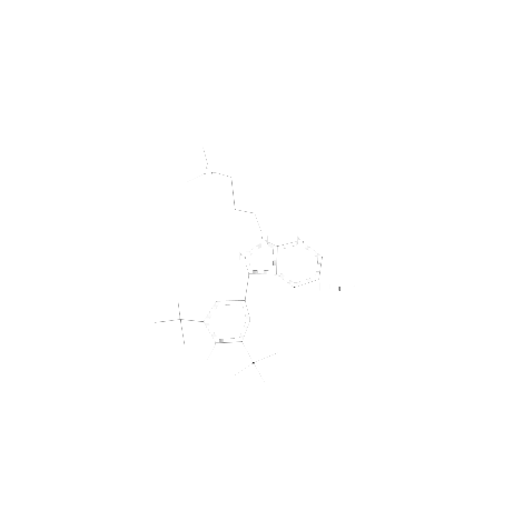 CN(C)CCCn1nc(-c2cc(C(C)(C)C)c(O)c(C(C)(C)C)c2)c2cccnc21.Cl.Cl